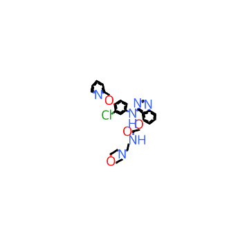 O=C(COc1cccc2ncnc(Nc3ccc(OCc4ccccn4)c(Cl)c3)c12)NCCN1CCOCC1